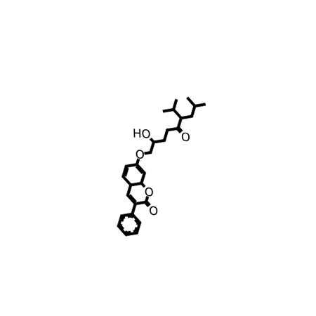 CC(C)CC(C(=O)CCC(O)COC1=CC2OC(=O)C(c3ccccc3)=CC2C=C1)C(C)C